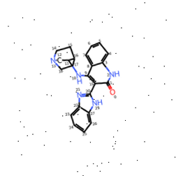 O=c1[nH]c2ccccc2c(NC2CN3CCC2CC3)c1-c1nc2ccccc2[nH]1